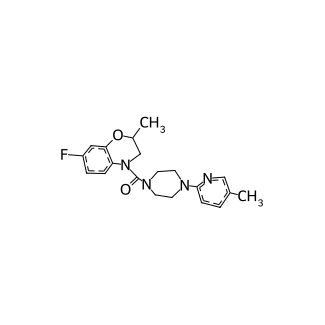 Cc1ccc(N2CCN(C(=O)N3CC(C)Oc4cc(F)ccc43)CC2)nc1